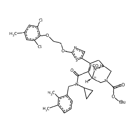 Cc1cc(Cl)c(OCCOc2ncc(C3=C(C(=O)N(Cc4cccc(C)c4C)C4CC4)[C@H]4CN(C(=O)OC(C)(C)C)CC(C3)N4C(=O)O)s2)c(Cl)c1